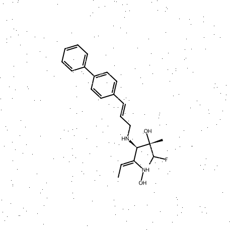 CC=C(NO)[C@@H](NC/C=C/c1ccc(-c2ccccc2)cc1)[C@](C)(O)C(C)F